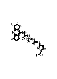 C[C@@H]1CCc2c1nc1c(c2NC(=O)N/[SH](=O)=N/C(=O)Oc2ccn(CF)n2)CCC1